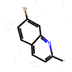 [CH]c1ccc2ccc(Br)cc2n1